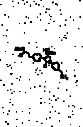 COC(=O)CCc1ccc(C2=C(OC)CN(c3ccc(CN)cc3)C2=O)cc1.Cl